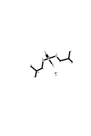 CC(C)COP(=S)([S-])OCC(C)C.[K+]